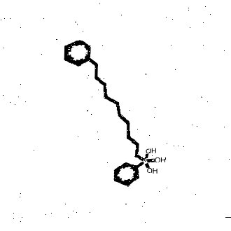 OP(O)(O)(CCCCCCCCCCc1ccccc1)c1ccccc1